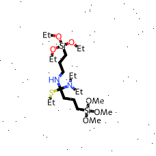 CCO[Si](CCCNC(CCC[Si](OC)(OC)OC)(SCC)N(CC)CC)(OCC)OCC